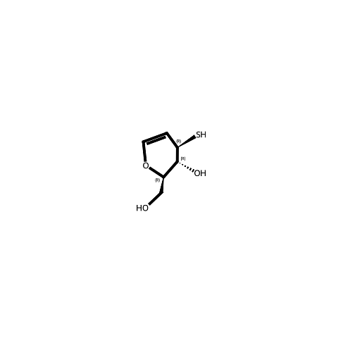 OC[C@H]1OC=C[C@@H](S)[C@@H]1O